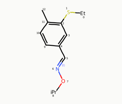 CCSc1cc(/C=N/OC(C)C)ccc1C